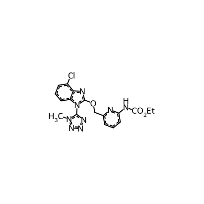 CCOC(=O)Nc1cccc(COc2nc3c(Cl)cccc3n2-c2nnnn2C)n1